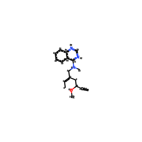 C/C=C(\CC(OC)OCC)CN(C)c1ncnc2ccccc12